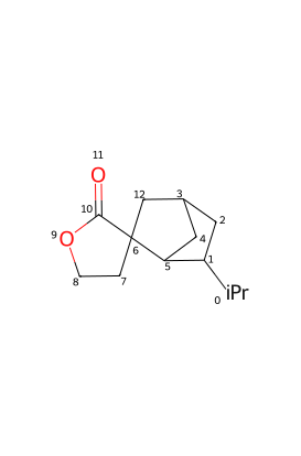 CC(C)C1CC2CC1C1(CCOC1=O)C2